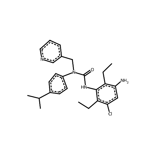 CCc1c(N)cc(Cl)c(CC)c1NC(=O)N(Cc1cccnc1)c1ccc(C(C)C)cc1